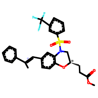 COC(=O)CC[C@H]1CN(S(=O)(=O)c2cccc(C(F)(F)F)c2)c2cc(/C=C(\C)c3ccccc3)ccc2O1